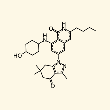 CCCCc1cc2cc(-n3nc(C)c4c3CC(C)(C)CC4=O)cc(NC3CCC(O)CC3)c2c(=O)[nH]1